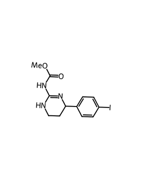 COC(=O)NC1=NC(c2ccc(I)cc2)CCN1